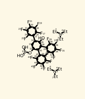 CCN(CC)CC.CCN(CC)CC.OB(O)Oc1cc(-c2c(F)c(F)c(F)c(F)c2F)c(O)c(-c2c(F)c(F)c(F)c(F)c2F)c1-c1c(F)c(F)c(F)c(F)c1F